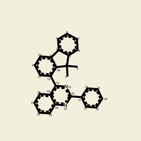 CC1(C)c2ccccc2-c2cccc(-c3nc(-c4ccccc4)nc4ccccc34)c21